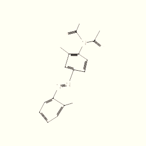 CC(=O)N(C(C)=O)c1ccc(N=Nc2ccccc2C)cc1C